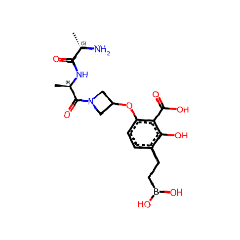 C[C@H](N)C(=O)N[C@H](C)C(=O)N1CC(Oc2ccc(CCB(O)O)c(O)c2C(=O)O)C1